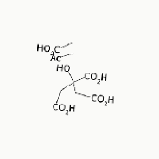 CC(=O)O.CC(C)=O.O=C(O)CC(O)(CC(=O)O)C(=O)O